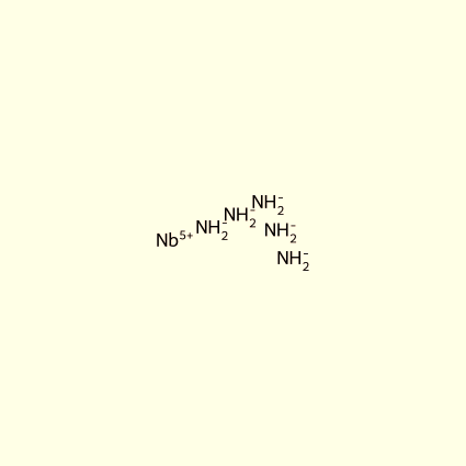 [NH2-].[NH2-].[NH2-].[NH2-].[NH2-].[Nb+5]